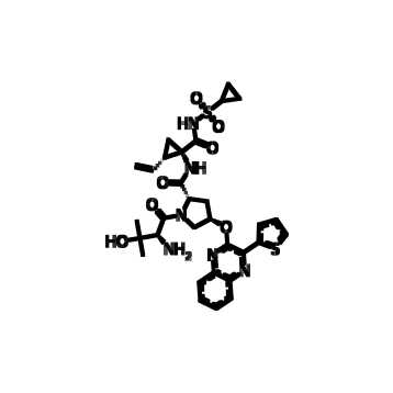 C=C[C@@H]1C[C@]1(NC(=O)[C@@H]1C[C@@H](Oc2nc3ccccc3nc2-c2cccs2)CN1C(=O)[C@@H](N)C(C)(C)O)C(=O)NS(=O)(=O)C1CC1